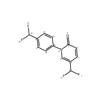 O=c1ccc(C(F)F)cn1-c1ccc(C(F)F)cc1